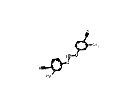 Cc1cc(OBOc2ccc(C#N)c(C)c2)ccc1C#N